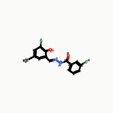 Cc1cc(Cl)c(O)c(/C=N/NC(=O)c2cccc(Cl)c2)c1